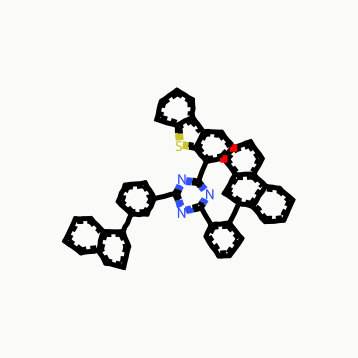 c1cc(-c2nc(-c3ccccc3-c3cc4ccccc4c4ccccc34)nc(-c3cccc4c3sc3ccccc34)n2)cc(-c2cccc3ccccc23)c1